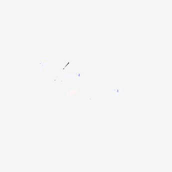 Nc1ccccc1/C=C/C(=O)N[C@H]1CN2CCC1CC2